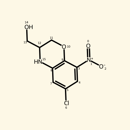 O=[N+]([O-])c1cc(Cl)cc2c1OCC(CO)N2